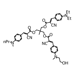 CCCN(C)c1ccc(/C=C(\C#N)C(=O)OCC(C)(COC(=O)/C(C#N)=C/c2ccc(N(C)CCO)cc2)COC(=O)/C(C#N)=C/c2ccc(N(CC)CC)cc2)cc1